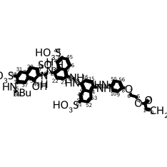 C=CC(=O)OCCOc1ccc(NNc2ccc(NNc3ccc(NNc4c(S(=O)(=O)O)cc5cc(S(=O)(=O)O)c(NCCCC)cc5c4O)c4cc(S(=O)(=O)O)ccc34)c3cc(S(=O)(=O)O)ccc23)cc1